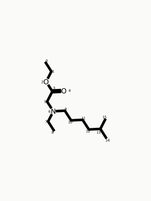 CCOC(=O)CN(CC)CCCCC(C)C